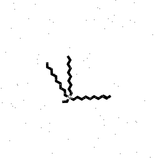 CC=CCCCCCCC[Si](CC)(CCCCCCCCCC)CCCCCCCCCC